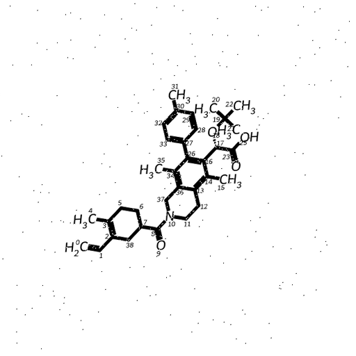 C=CC1=C(C)CCC(C(=O)N2CCc3c(C)c([C@H](OC(C)(C)C)C(=O)O)c(-c4ccc(C)cc4)c(C)c3C2)C1